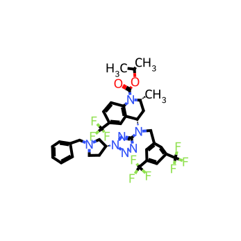 CC(C)OC(=O)N1c2ccc(C(F)(F)F)cc2[C@@H](N(Cc2cc(C(F)(F)F)cc(C(F)(F)F)c2)c2nnn([C@@H]3CCN(Cc4ccccc4)C3)n2)C[C@H]1C